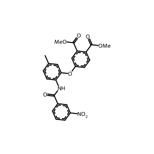 COC(=O)c1ccc(Oc2cc(C)ccc2NC(=O)c2cccc([N+](=O)[O-])c2)cc1C(=O)OC